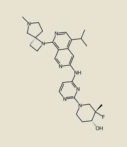 CC(C)c1cnc(N2CC[C@]23CCN(C)C3)c2cnc(Nc3ccnc(N4CC[C@@H](O)[C@@](C)(F)C4)n3)cc12